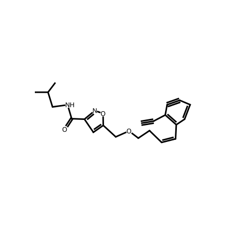 C#Cc1c#cccc1/C=C\CCOCc1cc(C(=O)NCC(C)C)no1